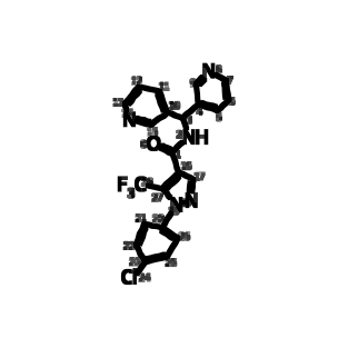 O=C(NC(c1cccnc1)c1cccnc1)c1cnn(-c2ccc(Cl)cc2)c1C(F)(F)F